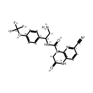 N#Cc1ccc2c(n1)N(C(=O)NC(CN)c1ccc(OC(F)(F)F)cc1)CC(=O)N2